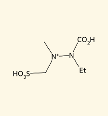 CCN(C(=O)O)[N+](C)CS(=O)(=O)O